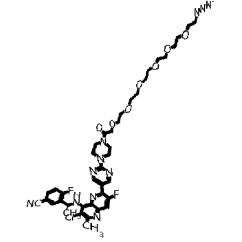 Cc1nc2cc(F)c(-c3cnc(N4CCN(C(=O)COCCOCCOCCOCCOCCOCCN=[N+]=[N-])CC4)nc3)nc2c(N[C@H](C)c2cc(C#N)ccc2F)c1Cl